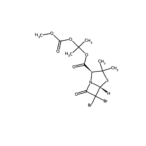 COC(=O)OC(C)(C)OC(=O)[C@@H]1N2C(=O)C(Br)(Br)[C@H]2SC1(C)C